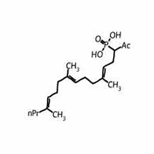 CCCC(C)=CCCC(C)=CCCC(C)=CCC(C(C)=O)P(=O)(O)O